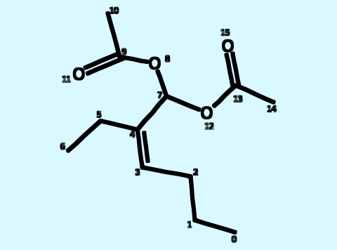 CCCC=C(CC)C(OC(C)=O)OC(C)=O